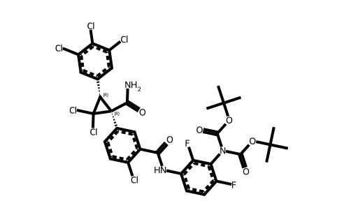 CC(C)(C)OC(=O)N(C(=O)OC(C)(C)C)c1c(F)ccc(NC(=O)c2cc([C@@]3(C(N)=O)[C@@H](c4cc(Cl)c(Cl)c(Cl)c4)C3(Cl)Cl)ccc2Cl)c1F